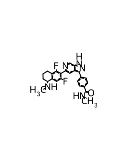 CNC(=O)c1ccc(-c2n[nH]c3cnc(-c4c(F)cc5c(c4F)CCCC5NC)cc23)cc1